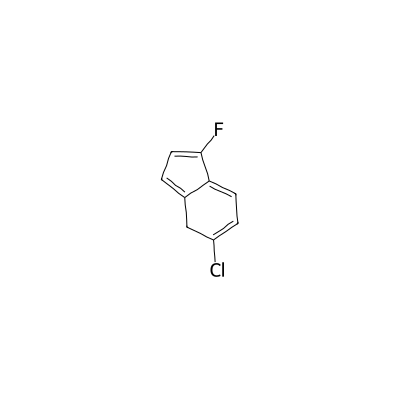 FC1=CC=C2CC(Cl)=CC=C12